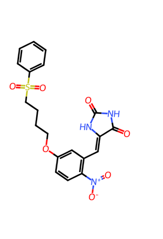 O=C1NC(=O)C(=Cc2cc(OCCCCS(=O)(=O)c3ccccc3)ccc2[N+](=O)[O-])N1